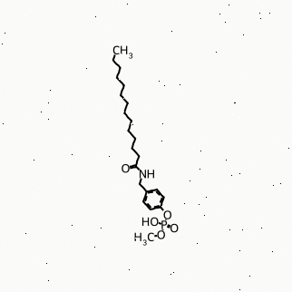 CCCCCCCCCCCCCC(=O)NCc1ccc(OP(=O)(O)OC)cc1